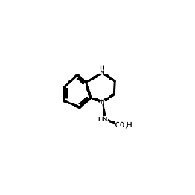 O=C(O)NN1CCNc2ccccc21